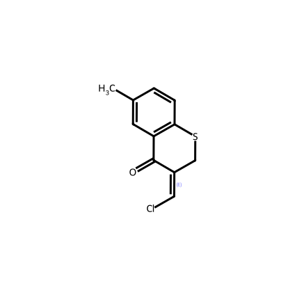 Cc1ccc2c(c1)C(=O)/C(=C\Cl)CS2